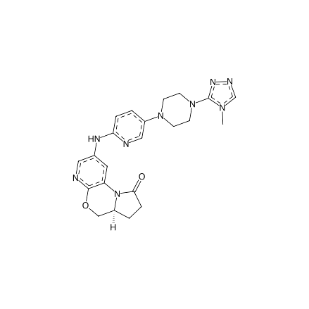 Cn1cnnc1N1CCN(c2ccc(Nc3cnc4c(c3)N3C(=O)CC[C@H]3CO4)nc2)CC1